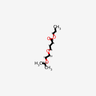 CCCOC(=O)CCCOCCOC(C)C